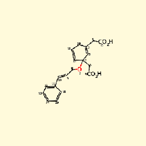 O=C(O)CC1=CC(CC(=O)O)(OC/C=C/c2ccccc2)C=CC1